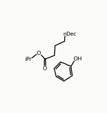 CCCCCCCCCCCCCC(=O)OC(C)C.Oc1ccccc1